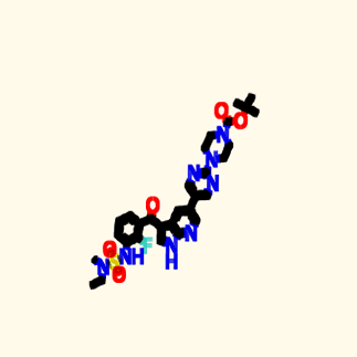 CCN(C)S(=O)(=O)Nc1cccc(C(=O)c2c[nH]c3ncc(-c4cnc(N5CCN(C(=O)OC(C)(C)C)CC5)nc4)cc23)c1F